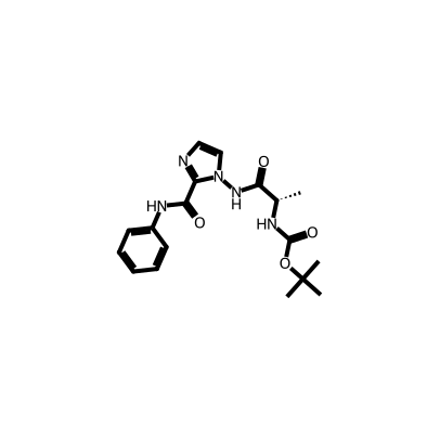 C[C@H](NC(=O)OC(C)(C)C)C(=O)Nn1ccnc1C(=O)Nc1ccccc1